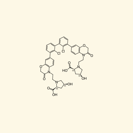 O=C(O)[C@@H]1C[C@H](O)CN1CCN1C(=O)COc2cc(-c3cccc(-c4cccc(-c5ccc6c(c5)OCC(=O)N6CCN5C[C@@H](O)C[C@H]5C(=O)O)c4Cl)c3Cl)ccc21